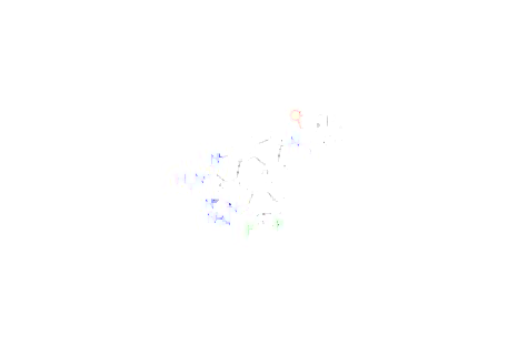 CC1(C)CN(c2ccc(-c3cnc(N)c(-c4nnnn4-c4cccc(F)c4F)c3)cc2)C1=O